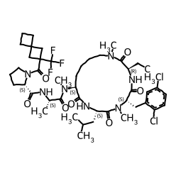 CC[C@H]1NC(=O)[C@H](Cc2cc(Cl)ccc2Cl)N(C)C(=O)[C@H](CC(C)C)NC(=O)[C@@H](N(C)C(=O)[C@H](C)NC(=O)[C@@H]2CCCN2C(=O)C2(C(F)(F)F)CC3(CCC3)C2)CCCCN(C)C1=O